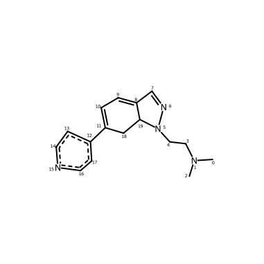 CN(C)CCN1N=CC2=CC=C(c3ccncc3)CC21